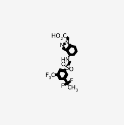 CC(F)(F)c1cc(C(F)(F)F)cc(S(=O)(=O)CN[C@@H]2CCCc3c2cnn3CC(=O)O)c1